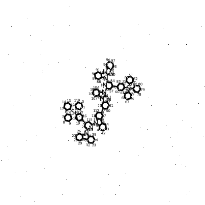 c1ccc([Si](c2ccccc2)(c2ccccc2)c2ccc(-c3cc(-n4c5ccccc5c5ccccc54)nc(-n4c5ccccc5c5cc(-c6ccc7nc8n(-c9cc(-c%10ccc([Si](c%11ccccc%11)(c%11ccccc%11)c%11ccccc%11)cc%10)cc(-n%10c%11ccccc%11n%11c%12ccccc%12nc%10%11)n9)c9ccccc9n8c7c6)ccc54)c3)cc2)cc1